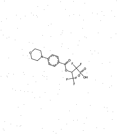 O=C(OC(C(F)(F)F)C(F)(F)S(=O)(=O)O)c1ccc(N2CCOCC2)cc1